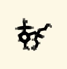 CCOP(=O)(Cc1cc(C)ccc1S(=O)(=O)O)OCC